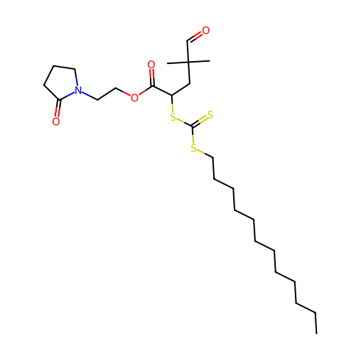 CCCCCCCCCCCCSC(=S)SC(CC(C)(C)C=O)C(=O)OCCN1CCCC1=O